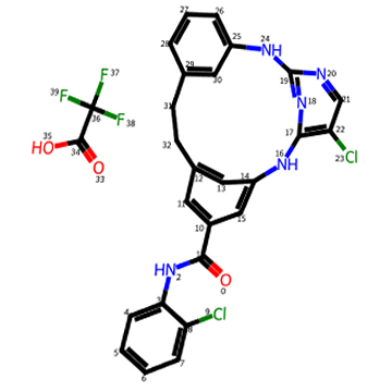 O=C(Nc1ccccc1Cl)c1cc2cc(c1)Nc1nc(ncc1Cl)Nc1cccc(c1)CC2.O=C(O)C(F)(F)F